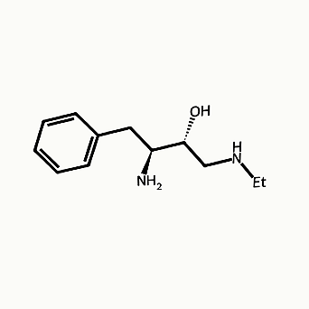 CCNC[C@@H](O)[C@@H](N)Cc1ccccc1